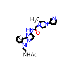 CC(=O)NCCNc1ccccc1-c1nccc(NC(=O)CN2CCN(c3cccnc3)CC2C)n1